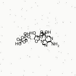 NC1=C2N=CN([C@@H]3O[C@H](COP(=O)(O)OS(=O)(=O)O)[C@@H](O)[C@H]3O)C2N(P(=O)(O)O)C=N1